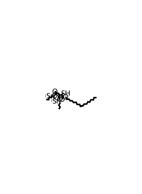 CCCCCCCC/C=C\CCCCCCCCOC(=O)C(S)/C(=C/C(=O)[O][Sn][CH2]CCC)C(=O)[O][Sn][CH2]CCC